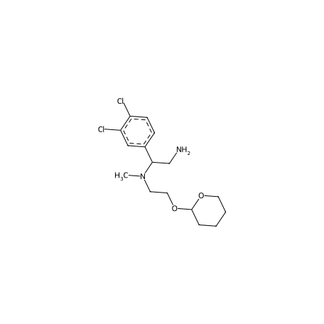 CN(CCOC1CCCCO1)C(CN)c1ccc(Cl)c(Cl)c1